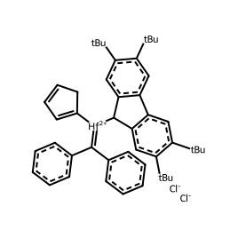 CC(C)(C)c1cc2c(cc1C(C)(C)C)[CH]([Hf+2]([C]1=CC=CC1)=[C](c1ccccc1)c1ccccc1)c1cc(C(C)(C)C)c(C(C)(C)C)cc1-2.[Cl-].[Cl-]